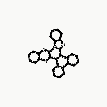 c1ccc2nc3c(nc2c1)c1c2ccccc2c2ccccc2c1c1nc2ccccc2n31